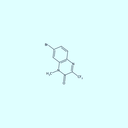 Cn1c(=O)c(C(F)(F)F)nc2ccc(Br)cc21